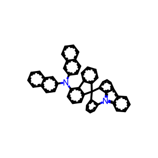 c1ccc2c(c1)-c1c(N(c3ccc4ccccc4c3)c3ccc4ccccc4c3)cccc1C21c2ccccc2-n2c3ccccc3c3cccc1c32